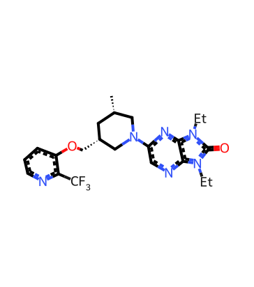 CCn1c(=O)n(CC)c2nc(N3C[C@@H](C)C[C@@H](COc4cccnc4C(F)(F)F)C3)cnc21